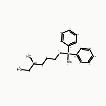 CC(C)(C)[Si](OCCC[C@H](O)CO)(c1ccccc1)c1ccccc1